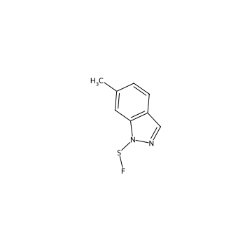 Cc1ccc2cnn(SF)c2c1